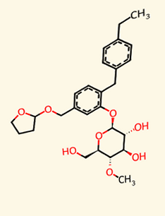 CCc1ccc(Cc2ccc(COC3CCCO3)cc2O[C@@H]2O[C@H](CO)[C@@H](OC)[C@H](O)[C@H]2O)cc1